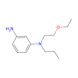 CCCN(CCOCC)c1cccc(N)c1